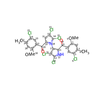 COc1cc(C)c(Cl)cc1C(=O)c1[nH]c(Cl)c(Cl)c1-n1c(C(=O)c2cc(Cl)c(C)cc2OC)cc(Cl)c1Cl